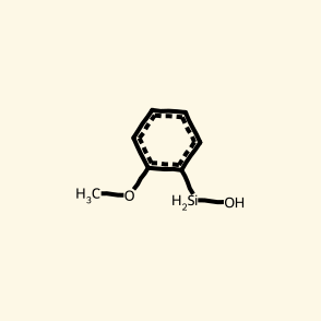 COc1ccccc1[SiH2]O